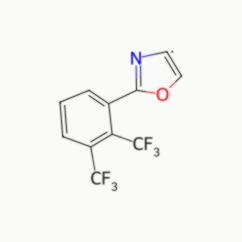 FC(F)(F)c1cccc(-c2n[c]co2)c1C(F)(F)F